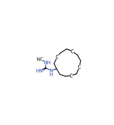 N#CNC(=N)NC1CCCCCCCCCCCC1